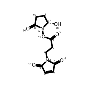 O=C(CCN1C(=O)C=CC1=O)ON1C(=O)CC[C@@H]1O